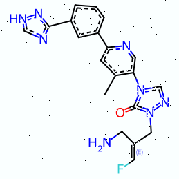 Cc1cc(-c2cccc(-c3nc[nH]n3)c2)ncc1-n1cnn(C/C(=C/F)CN)c1=O